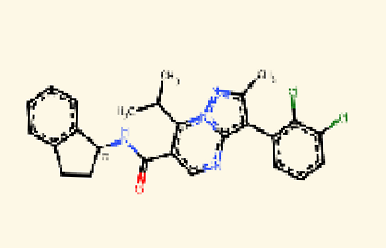 Cc1nn2c(C(C)C)c(C(=O)N[C@H]3CCc4ccccc43)cnc2c1-c1cccc(Cl)c1Cl